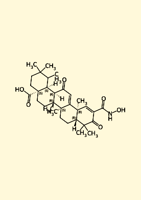 CC1[C@H]2[C@H]3C(=O)C=C4[C@@]5(C)C=C(C(=O)NO)C(=O)C(C)(C)[C@@H]5CC[C@@]4(C)[C@]3(C)CC[C@@]2(C(=O)O)CCC1(C)C